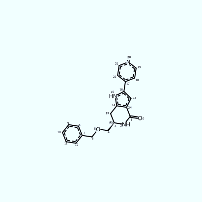 O=C1N[C@@H](COCc2ccccc2)Cc2[nH]c(-c3ccncc3)cc21